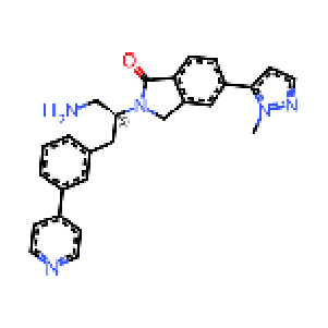 Cn1nccc1-c1ccc2c(c1)CN([C@H](CN)Cc1cccc(-c3ccncc3)c1)C2=O